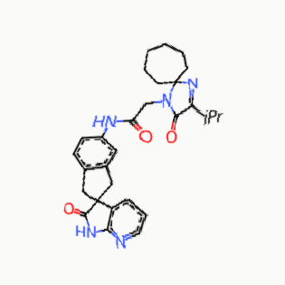 CC(C)C1=NC2(CCCCCC2)N(CC(=O)Nc2ccc3c(c2)CC2(C3)C(=O)Nc3ncccc32)C1=O